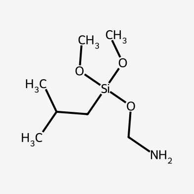 CO[Si](CC(C)C)(OC)OCN